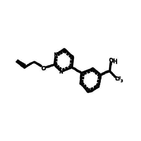 C=CCOc1nccc(-c2cccc(C(O)C(F)(F)F)c2)n1